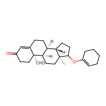 C[C@]12CC[C@@H]3[C@@H](CCC4=CC(=O)CC[C@@]43C=O)[C@@H]1CCC2OC1=CCCCC1